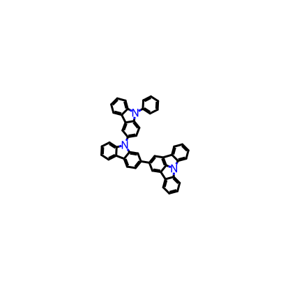 c1ccc(-n2c3ccccc3c3cc(-n4c5ccccc5c5ccc(-c6cc7c8ccccc8n8c9ccccc9c(c6)c78)cc54)ccc32)cc1